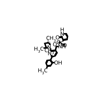 Cc1ccc(-c2ccc(C(=O)NS(=O)(=O)c3ccc[nH]c3=O)c(N3C[C@@H](C)CC3(C)C)n2)c(O)c1